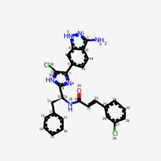 Nc1n[nH]c2cc(-c3nc([C@H](Cc4ccccc4)NC(=O)C=Cc4cccc(Cl)c4)[nH]c3Cl)ccc12